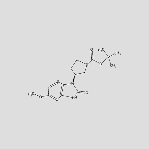 COc1cnc2c(c1)[nH]c(=O)n2[C@H]1CCN(C(=O)OC(C)(C)C)C1